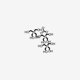 OC[P+](CO)(CO)CO.OC[P+](CO)(CO)CO.OC[P+](CO)(CO)CO.[O-]B([O-])[O-]